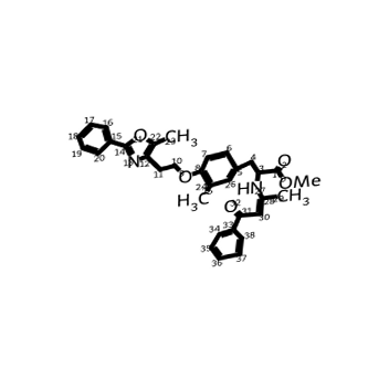 COC(=O)C(Cc1ccc(OCCc2nc(-c3ccccc3)oc2C)c(C)c1)N/C(C)=C\C(=O)c1ccccc1